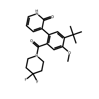 COc1cc(C(=O)N2CCC(F)(F)CC2)c(-c2ccc[nH]c2=O)cc1C(C)(C)C